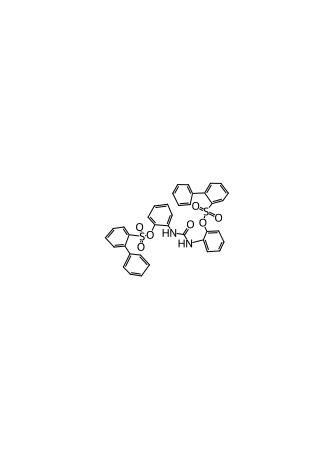 O=C(Nc1ccccc1OS(=O)(=O)c1ccccc1-c1ccccc1)Nc1ccccc1OS(=O)(=O)c1ccccc1-c1ccccc1